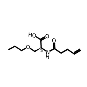 C=CCCC(=O)N[C@@H](COCCC)C(=O)O